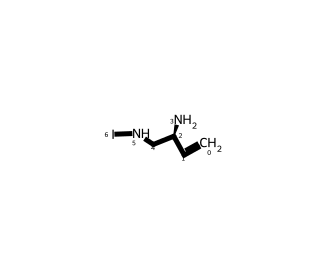 C=C[C@H](N)CNI